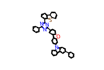 C1=CC2Sc3c(-c4nc(-c5ccccc5)nc(-c5ccc6oc7cc(-n8c9ccccc9c9cc(-c%10ccccc%10)ccc98)ccc7c6c5)n4)cccc3C2C=C1